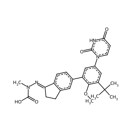 COc1c(-c2ccc3c(c2)CCC3=NN(C)C(=O)O)cc(-n2ccc(=O)[nH]c2=O)cc1C(C)(C)C